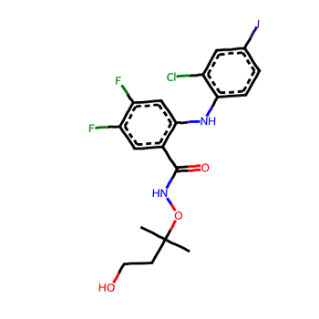 CC(C)(CCO)ONC(=O)c1cc(F)c(F)cc1Nc1ccc(I)cc1Cl